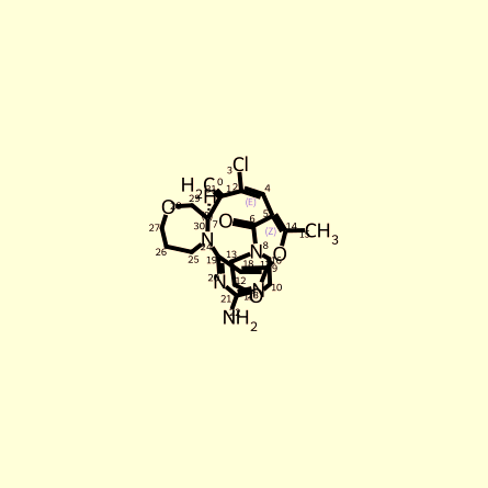 C=C1/C(Cl)=C\C(C(=O)N2CCOCC2)=C(/C)Oc2cc(nc(N)n2)N2CCCOC[C@@H]12